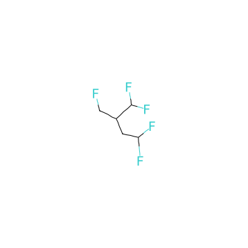 FCC(CC(F)F)C(F)F